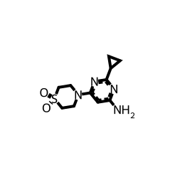 Nc1cc(N2CCS(=O)(=O)CC2)nc(C2CC2)n1